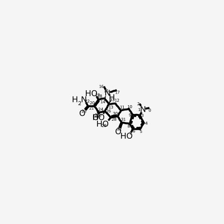 CN(C)c1ccc(O)c2c1CC1C[C@H]3[C@@H](N(C)C)C(O)=C(C(N)=O)C(=O)[C@@]3(O)C(O)=C1C2=O